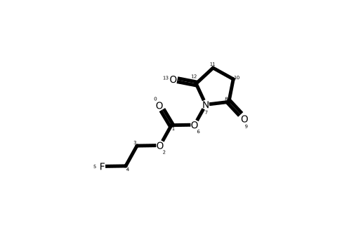 O=C(OCCF)ON1C(=O)CCC1=O